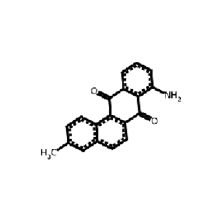 Cc1ccc2c3c(ccc2c1)C(=O)c1c(N)cccc1C3=O